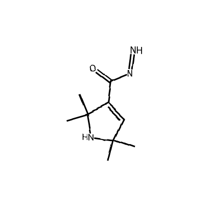 CC1(C)C=C(C(=O)N=N)C(C)(C)N1